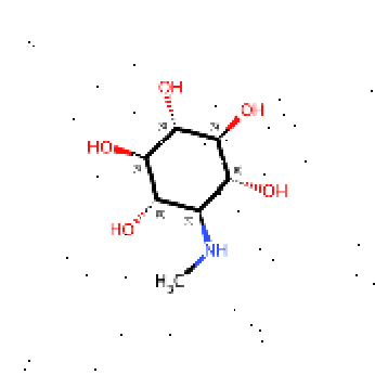 CN[C@H]1[C@H](O)[C@@H](O)[C@H](O)[C@@H](O)[C@@H]1O